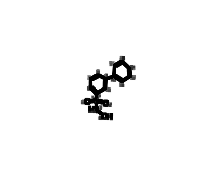 O=S(=O)(NO)c1cccc(-c2ccccc2)c1